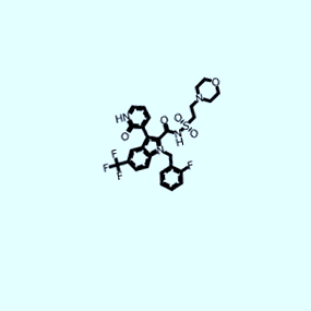 O=C(NS(=O)(=O)CCN1CCOCC1)c1c(-c2ccc[nH]c2=O)c2cc(C(F)(F)F)ccc2n1Cc1ccccc1F